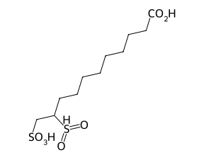 O=C(O)CCCCCCCCC(CS(=O)(=O)O)[SH](=O)=O